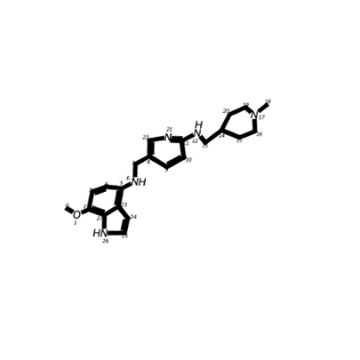 COc1ccc(NCc2ccc(NCC3CCN(C)CC3)nc2)c2cc[nH]c12